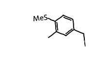 CSc1ccc(CI)cc1C